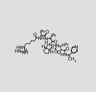 CCCC(NC(=O)[C@@H]1[C@H]2CCC[C@H]2CN1C(=O)[C@@H](NC(=O)[C@@H](NC(=O)CCCCC1=NNNN1)C(C)C)C(C)C)C(=O)C(=O)N[C@H](C)c1ccncc1